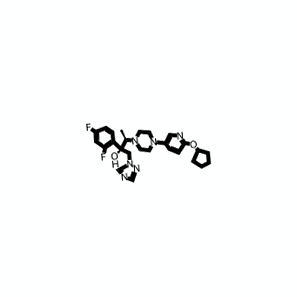 C[C@@H](N1CCN(c2ccc(OC3CCCC3)nc2)CC1)[C@](O)(Cn1cncn1)c1ccc(F)cc1F